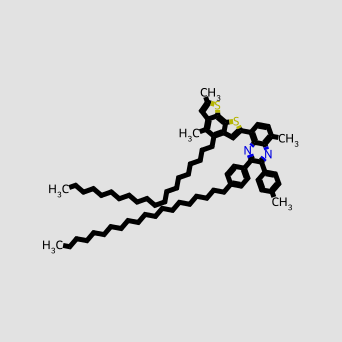 CCCCCCCCCCCCCCCCCCCCc1ccc(-c2nc3c(-c4cc5c(CCCCCCCCCCCCCCCCCCCC)c(C)c6cc(C)sc6c5s4)ccc(C)c3nc2-c2ccc(C)cc2)cc1